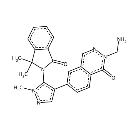 Cn1ncc(-c2ccc3c(=O)n(CN)ncc3c2)c1N1C(=O)c2ccccc2C1(C)C